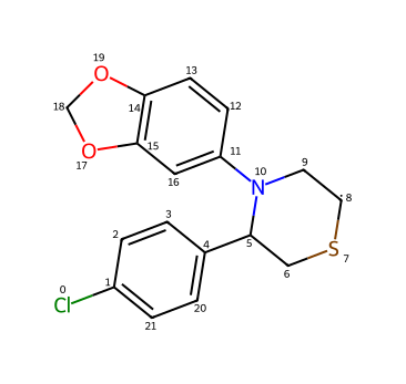 Clc1ccc(C2CS[CH]CN2c2ccc3c(c2)OCO3)cc1